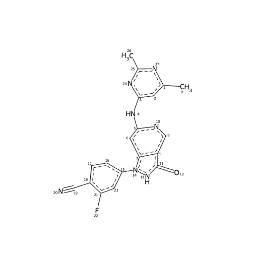 Cc1cc(Nc2cc3c(cn2)c(=O)[nH]n3-c2ccc(C#N)c(F)c2)nc(C)n1